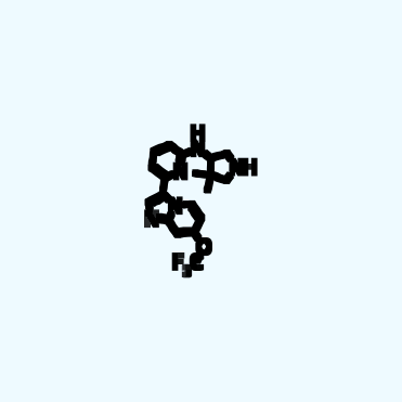 CC1(C)CNCC1Nc1cccc(-c2cnc3cc(OC(F)(F)F)ccn23)n1